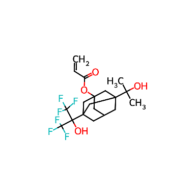 C=CC(=O)OC12CC3CC(C(C)(C)O)(C1)CC(C(O)(C(F)(F)F)C(F)(F)F)(C3)C2